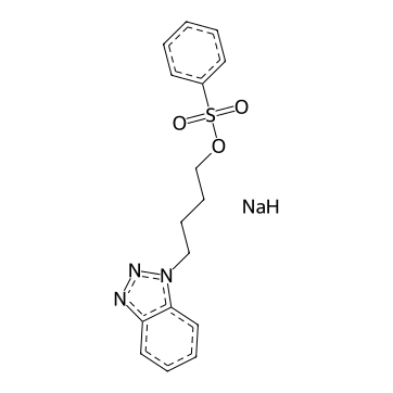 O=S(=O)(OCCCCn1nnc2ccccc21)c1ccccc1.[NaH]